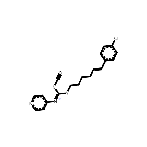 N#CN/C(=N\c1ccncc1)NCCCCC=Cc1ccc(Cl)cc1